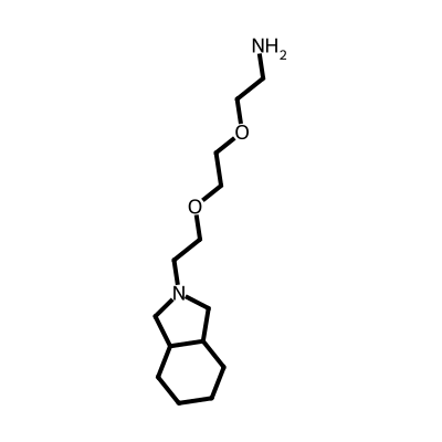 NCCOCCOCCN1CC2CCCCC2C1